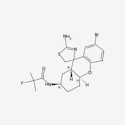 CC(C)(F)C(=O)N[C@@H]1CC[C@@H]2Oc3ccc(Br)cc3C3(CSC(N)=N3)[C@H]2C1